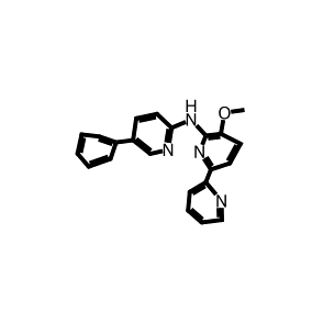 COc1ccc(-c2ccccn2)nc1Nc1ccc(-c2ccccc2)cn1